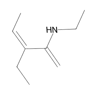 C=C(NCC)/C(=C\C)CC